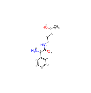 CC(O)CCCNC(=O)C(N)c1ccccc1